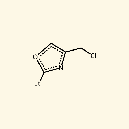 CCc1nc(CCl)co1